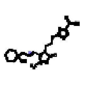 C[C@@H]1OC(=O)N(CCSc2nc(C(=O)O)cs2)[C@H]1/C=C/CC1(O)CCCCC1